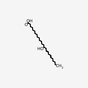 CCCCCC=CCC=CCC(O)CCCCCCCCCCCCCC(=O)O